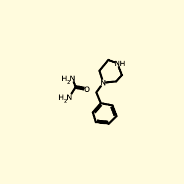 NC(N)=O.c1ccc(CN2CCNCC2)cc1